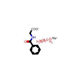 O.O.O.O.O=C([O-])CNC(=O)c1ccccc1.[Na+]